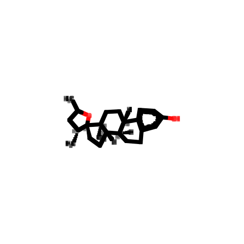 CC1C[C@@H](C)[C@]2(CC[C@H]3[C@@H]4CCc5cc(O)ccc5[C@H]4CC[C@@]32C)O1